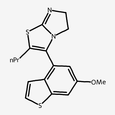 CCCC1=C(c2cc(OC)cc3sccc23)N2CCN=C2S1